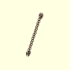 O=C(CCOCCOCCOCCOCCOCCOCCOCCOCCOCCOCCOCCOCCOCCOCCOCCOCCOCCC(=O)Oc1c(F)c(F)c(F)c(F)c1F)Oc1c(F)c(F)c(F)c(F)c1F